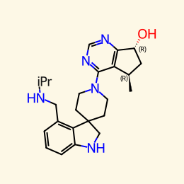 CC(C)NCc1cccc2c1C1(CCN(c3ncnc4c3[C@H](C)C[C@H]4O)CC1)CN2